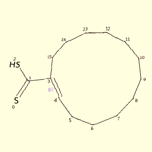 S=C(S)/C1=C/CCCCCCCCCCC1